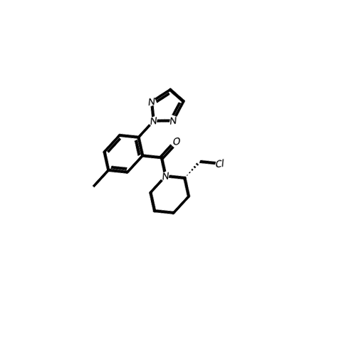 Cc1ccc(-n2nccn2)c(C(=O)N2CCCC[C@H]2CCl)c1